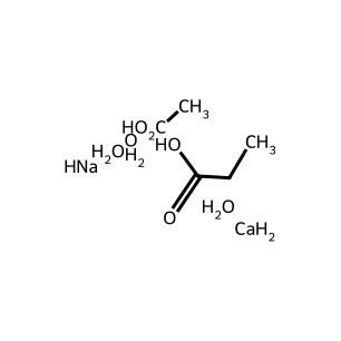 CC(=O)O.CCC(=O)O.O.O.O.[CaH2].[NaH]